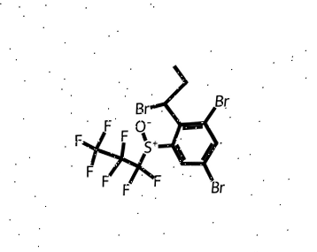 CCC(Br)c1c(Br)[c]c(Br)cc1[S+]([O-])C(F)(F)C(F)(F)C(F)(F)F